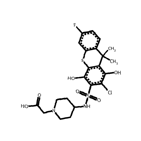 CC1(C)c2ccc(F)cc2Sc2c(O)c(S(=O)(=O)NC3CCN(CC(=O)O)CC3)c(Cl)c(O)c21